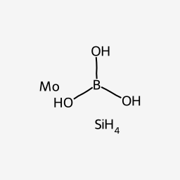 OB(O)O.[Mo].[SiH4]